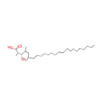 CCCCCCCCCCCCCCCCCCC(C)CC(C)C(O)C(C)C(=O)O